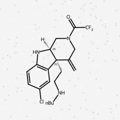 C=C1CN(C(=O)C(F)(F)F)C[C@@H]2Nc3ccc(Cl)cc3[C@]12CCNCCCC